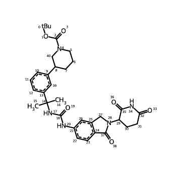 CC(C)(C)OC(=O)N1CCCC(c2cccc(C(C)(C)NC(=O)Nc3ccc4c(c3)CN(C3CCC(=O)NC3=O)C4=O)c2)C1